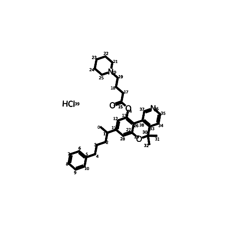 CC(CCCc1ccccc1)c1cc(OC(=O)CCCN2CCCCC2)c2c(c1)OC(C)(C)c1ccncc1-2.Cl